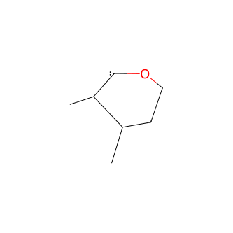 CC1[C]OCCC1C